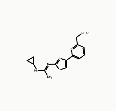 CC(=O)NCc1cccc(-c2csc(/N=C(\N)NC3CC3)n2)n1